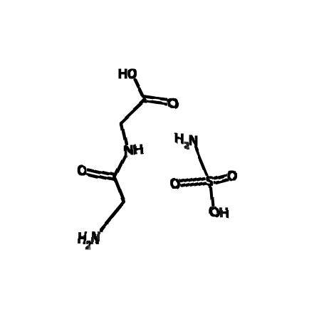 NCC(=O)NCC(=O)O.NS(=O)(=O)O